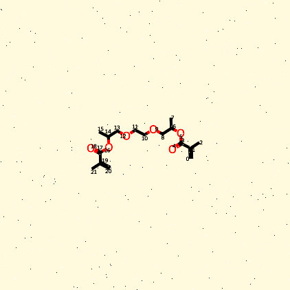 C=C(C)C(=O)OC(C)COCCOCC(C)OC(=O)C(=C)C